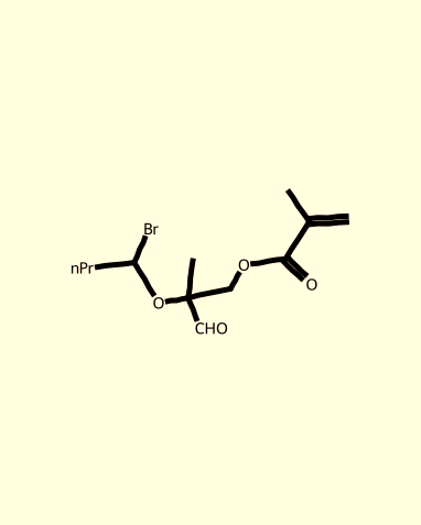 C=C(C)C(=O)OCC(C)(C=O)OC(Br)CCC